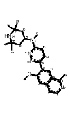 COc1cc2ccnc(C)c2cc1-c1ccc(N(C)C2CC(C)(C)NC(C)(C)C2)nn1